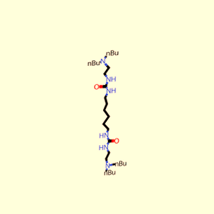 CCCCN(CCCC)CCNC(=O)NCCCCCCNC(=O)NCCN(CCCC)CCCC